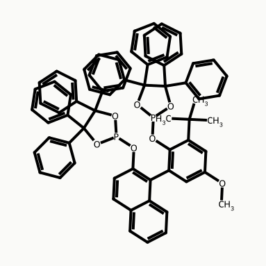 COc1cc(-c2c(OP3OC(c4ccccc4)(c4ccccc4)C(c4ccccc4)(c4ccccc4)O3)ccc3ccccc23)c(OP2OC(c3ccccc3)(c3ccccc3)C(c3ccccc3)(c3ccccc3)O2)c(C(C)(C)C)c1